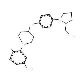 COc1ccc(F)c(N2CCC(Oc3ccc(N4CCC[C@H]4CC#N)cc3)CC2)c1